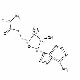 C[C@H](N)C(=O)OC[C@H]1O[C@@H](n2cnc3c(N)ncnc32)[C@H](O)[C@@H]1N